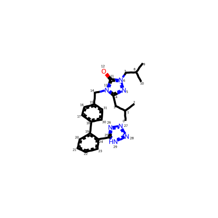 CC(C)Cc1nn(CC(C)C)c(=O)n1Cc1ccc(-c2ccccc2-c2nnn[nH]2)cc1